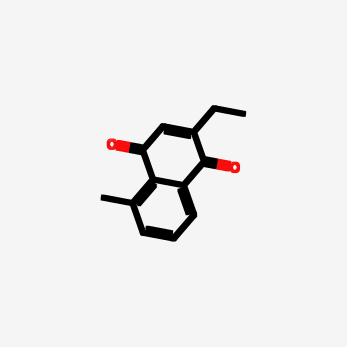 CCC1=CC(=O)c2c(C)cccc2C1=O